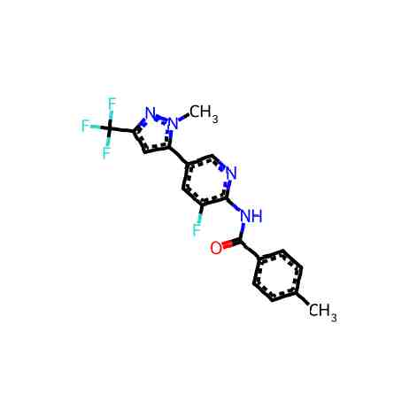 Cc1ccc(C(=O)Nc2ncc(-c3cc(C(F)(F)F)nn3C)cc2F)cc1